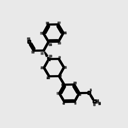 COc1cccc(C2CCN([C@H](C=O)c3ccccc3)CC2)c1